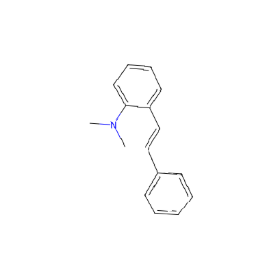 CN(C)c1ccccc1C=Cc1ccccc1